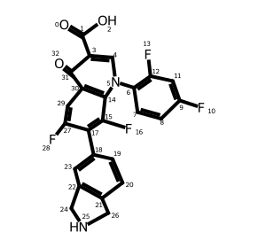 O=C(O)c1cn(-c2ccc(F)cc2F)c2c(F)c(-c3ccc4c(c3)CNC4)c(F)cc2c1=O